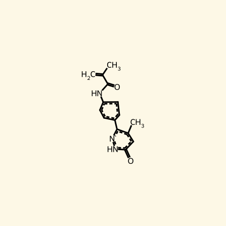 C=C(C)C(=O)Nc1ccc(-c2n[nH]c(=O)cc2C)cc1